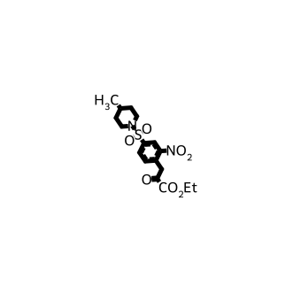 CCOC(=O)C(=O)Cc1ccc(S(=O)(=O)N2CCC(C)CC2)cc1[N+](=O)[O-]